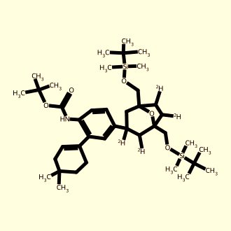 [2H]C1C([2H])C2(CO[Si](C)(C)C(C)(C)C)OC1(CO[Si](C)(C)C(C)(C)C)CC([2H])(c1ccc(NC(=O)OC(C)(C)C)c(C3=CCC(C)(C)CC3)c1)C2[2H]